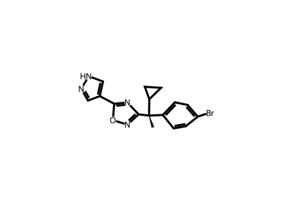 C[C@@](c1ccc(Br)cc1)(c1noc(-c2cn[nH]c2)n1)C1CC1